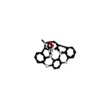 Cn1c2[n+](c3cnccc31)[N+]13c4c(cccc4-2)Oc2ccc4c(c21)-n1c2c(cccc2c2ccc[n+]3c21)O4